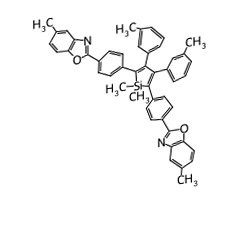 Cc1cccc(C2=C(c3ccc(-c4nc5cc(C)ccc5o4)cc3)[Si](C)(C)C(c3ccc(-c4nc5cc(C)ccc5o4)cc3)=C2c2cccc(C)c2)c1